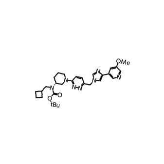 COc1cncc(-c2cn(Cc3ccc(N4CCC[C@@H](N(CC5CCC5)C(=O)OC(C)(C)C)C4)nn3)cn2)c1